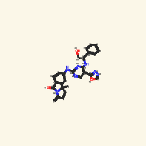 C=C1C=CC2(C)c3cc(Nc4ncc(-c5nnco5)c(N[C@H](CO)c5ccccc5)n4)ccc3C(=O)N12